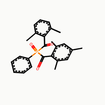 Cc1cc(C)c(C(=O)P(=O)(C(=O)c2c(C)cccc2C)c2ccccc2)c(C)c1